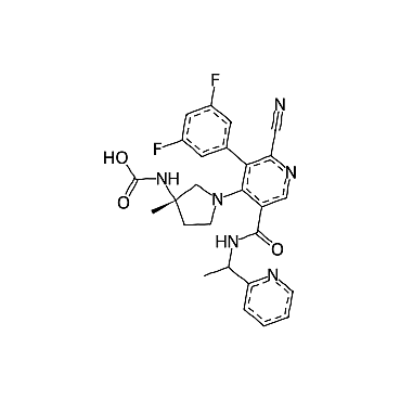 CC(NC(=O)c1cnc(C#N)c(-c2cc(F)cc(F)c2)c1N1CC[C@](C)(NC(=O)O)C1)c1ccccn1